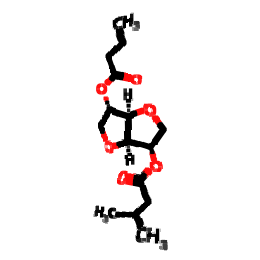 CCCC(=O)O[C@H]1CO[C@H]2[C@@H]1OC[C@H]2OC(=O)CC(C)C